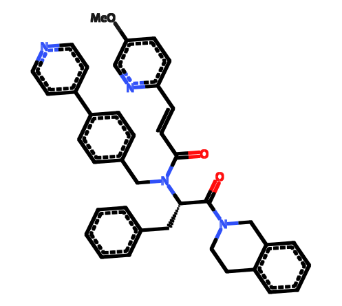 COc1ccc(C=CC(=O)N(Cc2ccc(-c3ccncc3)cc2)[C@@H](Cc2ccccc2)C(=O)N2CCc3ccccc3C2)nc1